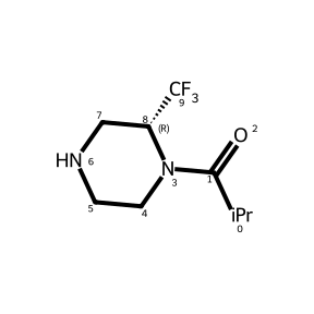 CC(C)C(=O)N1CCNC[C@@H]1C(F)(F)F